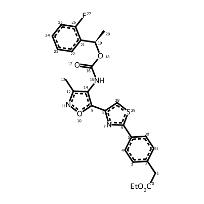 CCOC(=O)Cc1ccc(-c2nc(-c3onc(C)c3NC(=O)O[C@H](C)c3ccccc3F)cs2)cc1